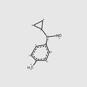 Cc1ccc(N(N=O)C2CC2)cc1